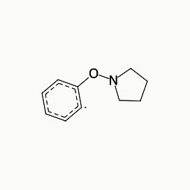 [c]1ccccc1ON1CCCC1